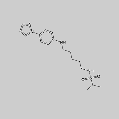 CC(C)S(=O)(=O)NCCCCCNc1ccc(-n2cccn2)cc1